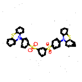 O=S(=O)(c1ccc(N2c3ccccc3Sc3ccccc32)cc1)c1cccc(S(=O)(=O)c2ccc(N3c4ccccc4Sc4ccccc43)cc2)c1